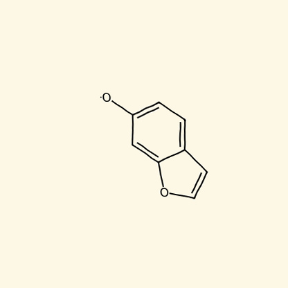 [O]c1ccc2ccoc2c1